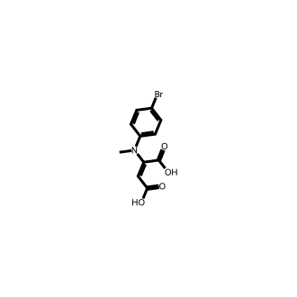 CN(C(=CC(=O)O)C(=O)O)c1ccc(Br)cc1